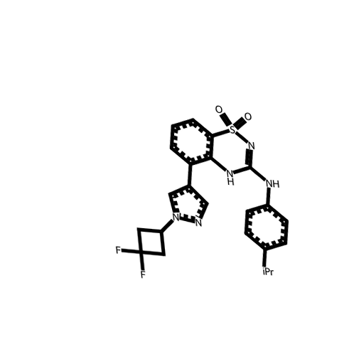 CC(C)c1ccc(NC2=NS(=O)(=O)c3cccc(-c4cnn(C5CC(F)(F)C5)c4)c3N2)cc1